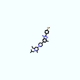 CCC1CC(N2CCC(c3cc(C)c4nc(-c5ccc(SC)cc5)n(C)c4c3)CC2)CC(C)N1CC(C)C